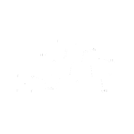 COC1=C(F)CC2=NC(C)=C(CC(=O)O)C2=C1C(=O)c1csc(OC(F)(F)F)c1